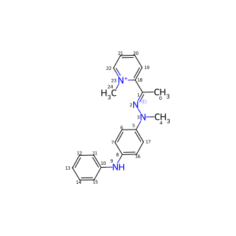 C/C(=N\N(C)c1ccc(Nc2ccccc2)cc1)c1cccc[n+]1C